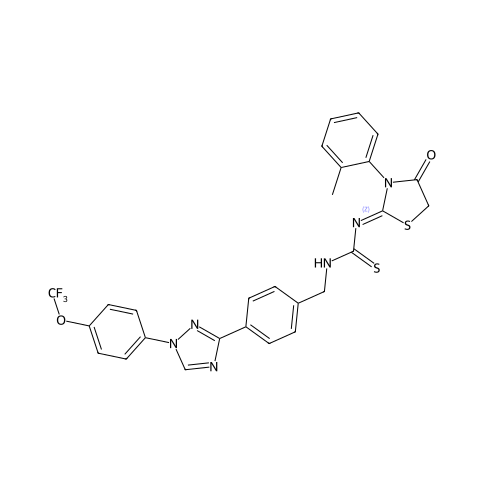 Cc1ccccc1N1C(=O)CS/C1=N\C(=S)NCc1ccc(-c2ncn(-c3ccc(OC(F)(F)F)cc3)n2)cc1